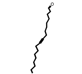 CCCCCCCCC#CCCCCCCCC=O